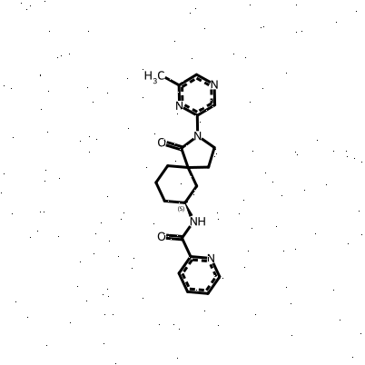 Cc1cncc(N2CCC3(CCC[C@H](NC(=O)c4ccccn4)C3)C2=O)n1